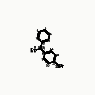 CC[C@@H](c1ccccc1)c1ccc(C(C)C)cc1